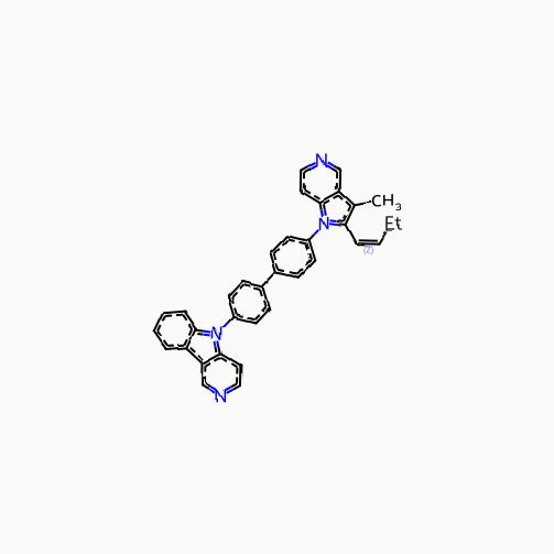 CC/C=C\c1c(C)c2cnccc2n1-c1ccc(-c2ccc(-n3c4ccccc4c4cnccc43)cc2)cc1